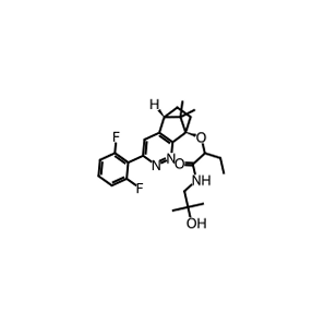 CCC(O[C@@]12CC[C@@H](c3cc(-c4c(F)cccc4F)nnc31)C2(C)C)C(=O)NCC(C)(C)O